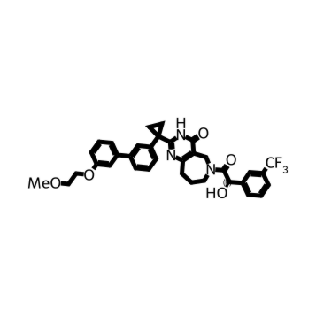 COCCOc1cccc(-c2cccc(C3(c4nc5c(c(=O)[nH]4)CN(C(=O)[C@H](O)c4cccc(C(F)(F)F)c4)CCC5)CC3)c2)c1